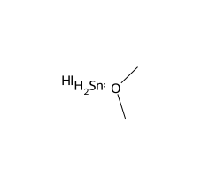 COC.I.[SnH2]